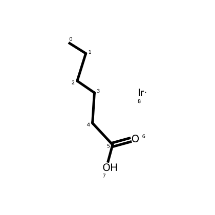 CCCCCC(=O)O.[Ir]